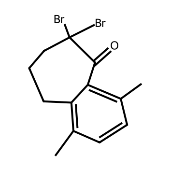 Cc1ccc(C)c2c1CCCC(Br)(Br)C2=O